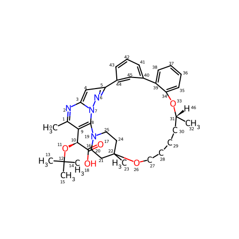 Cc1nc2cc3nn2c(c1[C@H](OC(C)(C)C)C(=O)O)N1CCC(C)(CC1)OCCCC[C@@H](C)Oc1ccccc1-c1cccc-3c1